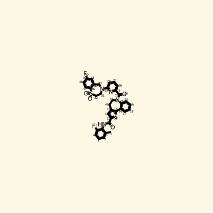 Cc1cccc(F)c1NC(=O)c1cc2c(s1)-c1ccccc1N(C(=O)c1cccc(N3CCS(=O)(=O)c4ccc(F)cc4C3)n1)CC2